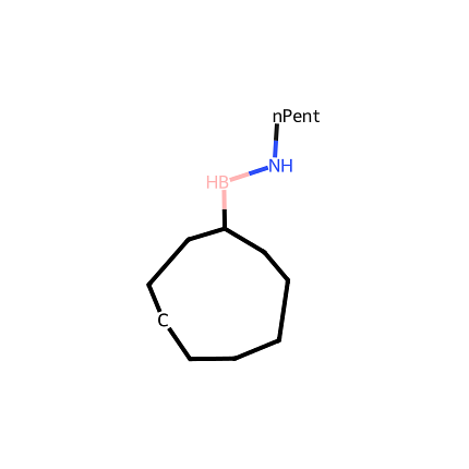 CCCCCNBC1CCCCCCCC1